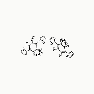 Fc1c(F)c(-c2ccc(-c3ccc(-c4c(F)c(F)c(-c5cccs5)c5nsnc45)s3)s2)c2nsnc2c1-c1cccs1